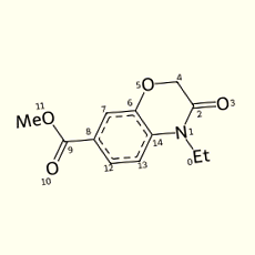 CCN1C(=O)COc2cc(C(=O)OC)ccc21